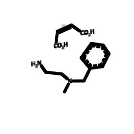 CN(CCN)Cc1ccccc1.O=C(O)/C=C\C(=O)O